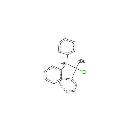 CC(C)(C)C(Cl)(c1ccccc1)[SiH](c1ccccc1)c1ccccc1